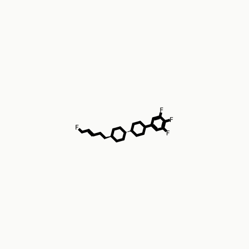 FC/C=C/CC[C@H]1CC[C@H](C2CCC(c3cc(F)c(F)c(F)c3)CC2)CC1